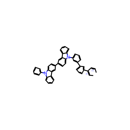 C/C=C\C(=C/C)c1cccc(-c2cccc(-n3c4ccccc4c4cc(-c5ccc6c(c5)c5ccccc5n6-c5ccccc5)ccc43)c2)c1